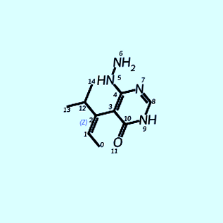 C/C=C(\c1c(NN)nc[nH]c1=O)C(C)C